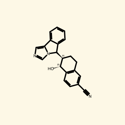 N#Cc1ccc2c(c1)CC[C@H](C1c3ccccc3-c3cncn31)[C@H]2O